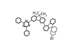 CCC1CC2CCC3(c4ccccc4-c4c(-c5ccc6c(c5)-c5cc(-c7nc(-c8ccccc8)nc(-c8ccccc8)n7)ccc5C6(C)C)cccc43)C(C1)C2